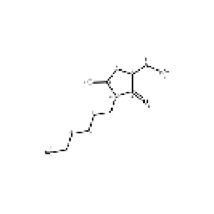 CCCSC1CC(=O)N(CCCCCC(C)=O)C1=O